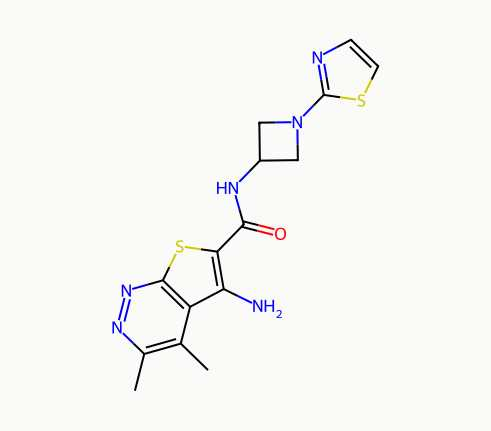 Cc1nnc2sc(C(=O)NC3CN(c4nccs4)C3)c(N)c2c1C